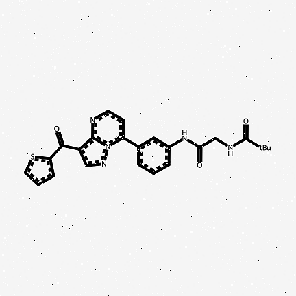 CC(C)(C)C(=O)NCC(=O)Nc1cccc(-c2ccnc3c(C(=O)c4cccs4)cnn23)c1